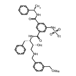 CCS(=O)(=O)Nc1cc(C(=O)N[C@@H](Cc2ccccc2)[C@H](O)CNCc2cccc(COC)c2)cc(C(=O)N[C@H](C)c2ccccc2)c1